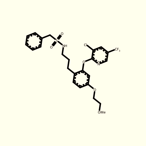 COCCOc1ccc(CCCNS(=O)(=O)Cc2ccccc2)c(Oc2ncc(C(F)(F)F)cc2Cl)c1